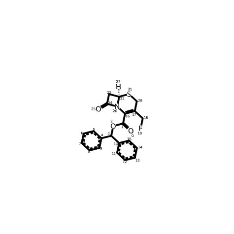 O=C(OC(c1ccccc1)c1ccccc1)C1=C(CF)CS[C@@H]2CC(=O)N12